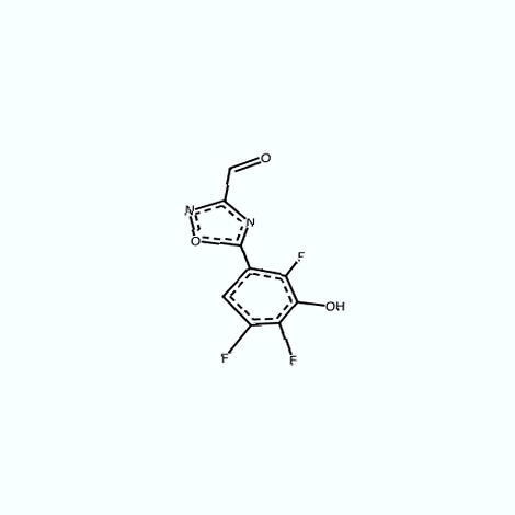 O=Cc1noc(-c2cc(F)c(F)c(O)c2F)n1